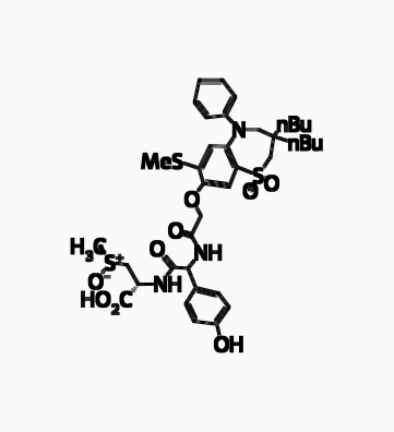 CCCCC1(CCCC)CN(c2ccccc2)c2cc(SC)c(OCC(=O)NC(C(=O)N[C@@H](C[S@+](C)[O-])C(=O)O)c3ccc(O)cc3)cc2S(=O)(=O)C1